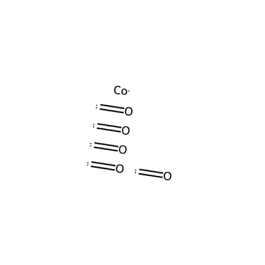 [C]=O.[C]=O.[C]=O.[C]=O.[C]=O.[Co]